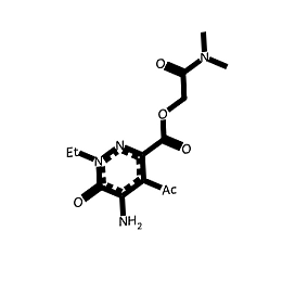 CCn1nc(C(=O)OCC(=O)N(C)C)c(C(C)=O)c(N)c1=O